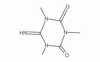 Cn1c(=N)n(C)c(=O)n(C)c1=O